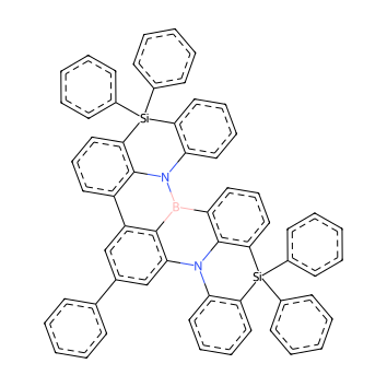 c1ccc(-c2cc3c4c(c2)N2c5ccccc5[Si](c5ccccc5)(c5ccccc5)c5cccc(c52)B4N2c4ccccc4[Si](c4ccccc4)(c4ccccc4)c4cccc-3c42)cc1